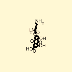 NCCCC[C@H](N)C(=O)Oc1cc(O)c2c(c1)C(=O)c1cc(C(=O)O)cc(O)c1C2=O